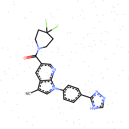 N#Cc1cn(-c2ccc(-c3nnc[nH]3)cc2)c2ncc(C(=O)N3CCC(F)(F)CC3)cc12